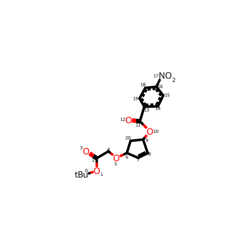 CC(C)(C)OC(=O)COC1C=CC(OC(=O)c2ccc([N+](=O)[O-])cc2)C1